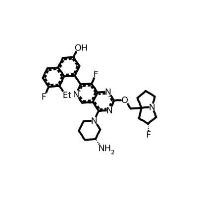 CCc1c(F)ccc2cc(O)cc(-c3ncc4c(N5CCC[C@@H](N)C5)nc(OCC56CCCN5C[C@H](F)C6)nc4c3F)c12